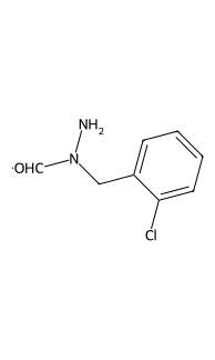 NN([C]=O)Cc1ccccc1Cl